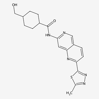 Cc1nnc(-c2ccc3cnc(NC(=O)C4CCC(CO)CC4)cc3n2)s1